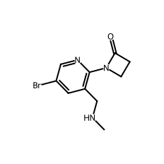 CNCc1cc(Br)cnc1N1CCC1=O